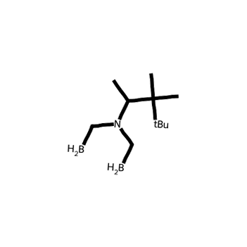 BCN(CB)C(C)C(C)(C)C(C)(C)C